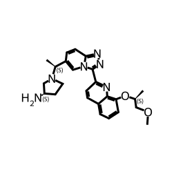 COC[C@H](C)Oc1cccc2ccc(-c3nnc4ccc([C@H](C)N5CC[C@H](N)C5)cn34)nc12